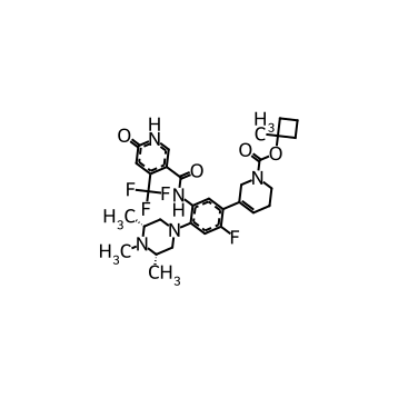 C[C@@H]1CN(c2cc(F)c(C3=CCCN(C(=O)OC4(C)CCC4)C3)cc2NC(=O)c2c[nH]c(=O)cc2C(F)(F)F)C[C@H](C)N1C